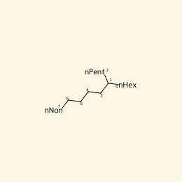 [CH2]CCCCCC(CCCCC)CCCCCCCCCCCCC